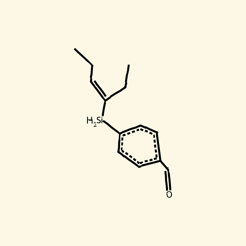 CC/C=C(\CC)[SiH2]c1ccc([C]=O)cc1